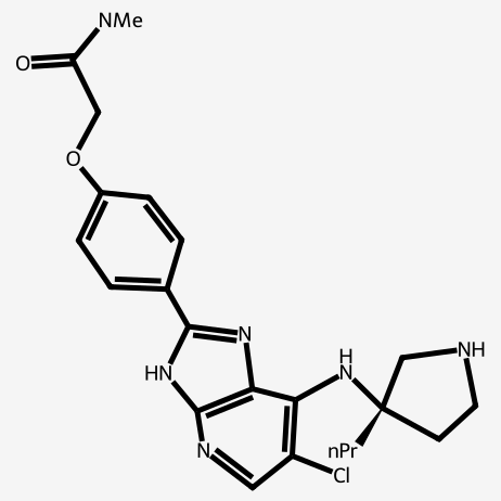 CCC[C@]1(Nc2c(Cl)cnc3[nH]c(-c4ccc(OCC(=O)NC)cc4)nc23)CCNC1